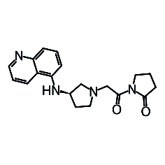 O=C1CCCN1C(=O)CN1CC[C@@H](Nc2cccc3ncccc23)C1